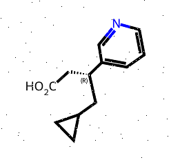 O=C(O)C[C@@H](CC1CC1)c1cccnc1